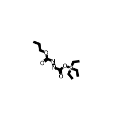 CCCOC(=O)N=NC(=O)O[Si](CC)(CC)CC